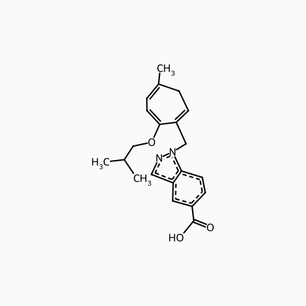 CC1=CC=C(OCC(C)C)C(Cn2ncc3cc(C(=O)O)ccc32)=CC1